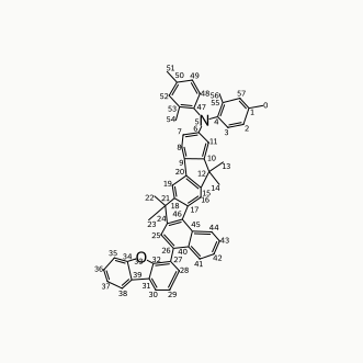 Cc1ccc(N(c2ccc3c(c2)C(C)(C)c2cc4c(cc2-3)C(C)(C)c2cc(-c3cccc5c3oc3ccccc35)c3ccccc3c2-4)c2ccc(C)cc2C)c(C)c1